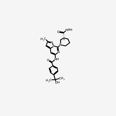 CNC(=O)[C@@H]1CCCN(c2nc(NC(=O)c3ccc(C(C)(C)O)cc3)cc3cc(C)nn23)C1